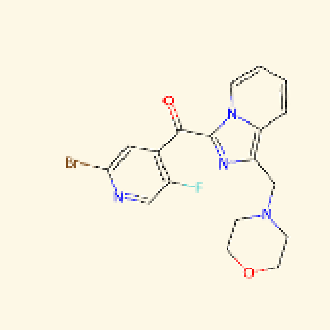 O=C(c1cc(Br)ncc1F)c1nc(CN2CCOCC2)c2ccccn12